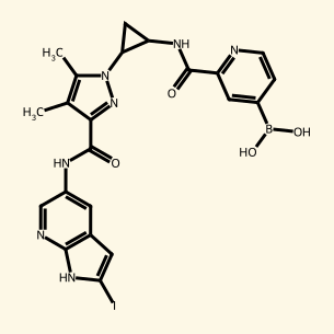 Cc1c(C(=O)Nc2cnc3[nH]c(I)cc3c2)nn(C2CC2NC(=O)c2cc(B(O)O)ccn2)c1C